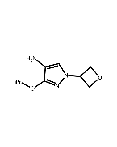 CC(C)Oc1nn(C2COC2)cc1N